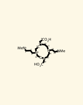 CNCCCN1CCN(CC(=O)O)CCN(CCNC)CCN(CC(=O)O)CC1